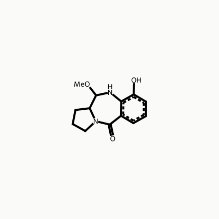 COC1Nc2c(O)cccc2C(=O)N2CCCC12